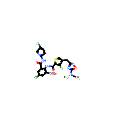 COc1cc(Cl)cc(C(=O)Nc2ccc(Cl)cn2)c1NC(=O)c1scc(Cc2noc(N(C)C)n2)c1Cl